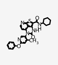 Cc1cc(Oc2ccccc2)ncc1N1C(=O)Nc2c(C(=O)NC3CCCCC3)sc3nccc1c23